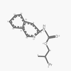 CC(C)C(C)COC(=O)Nc1cc2ccccc2cn1